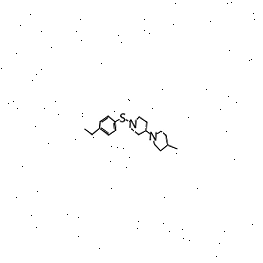 CCc1ccc(SN2CCC(N3CCC(C)CC3)CC2)cc1